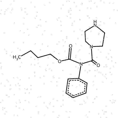 CCCCOC(=O)N(C(=O)N1CCNCC1)c1cc[c]cc1